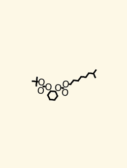 CC(C)CCCCCCOC(=O)OC1CCCCC1OC(=O)OC(C)(C)C